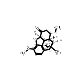 CC[C@H]1CC(=O)[C@@H]2Oc3c(OC)ccc4c3[C@@]23CCN(C)[C@H](C4)[C@H]13